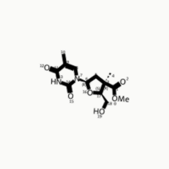 COC(=O)[C@]1(C)C[C@H](n2cc(C)c(=O)[nH]c2=O)O[C@@H]1CO